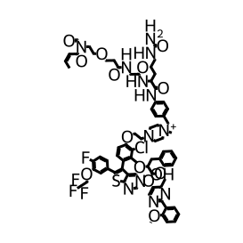 C/C=C\C(=O)N(C=O)CCOCCC(=O)NCC(=O)NC(CCCNC(N)=O)C(=O)Nc1ccc(C[N+]2(C)CCN(CCOc3ccc(-c4c(-c5ccc(F)c(OCC(F)(F)F)c5)sc5ncnc(OC(Cc6ccccc6OCc6ccnc(-c7ccccc7OC)n6)C(=O)O)c45)c(C)c3Cl)CC2)cc1